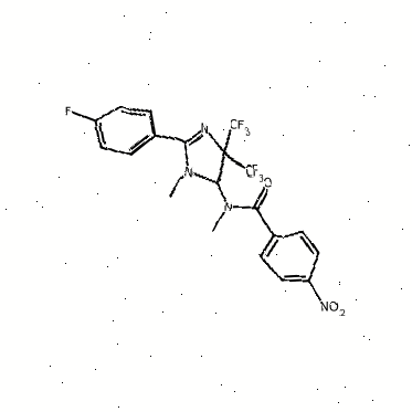 CN(C(=O)c1ccc([N+](=O)[O-])cc1)C1N(C)C(c2ccc(F)cc2)=NC1(C(F)(F)F)C(F)(F)F